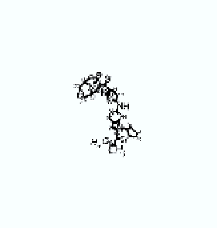 CN(C)C(=O)c1cc2cnc(Nc3ccc(C(=O)N4CCC5COCC(C4)N5C(=O)OC(C)(C)C)cn3)nc2n1C1CCCC1